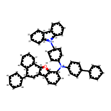 c1ccc(-c2ccc(N(c3ccc(-n4c5ccccc5c5ccccc54)cc3)c3cccc4c3oc3c5ccccc5c(-c5ccccc5)cc43)cc2)cc1